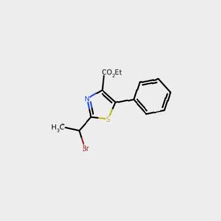 CCOC(=O)c1nc(C(C)Br)sc1-c1ccccc1